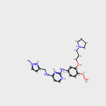 Cn1ccc(CNc2ccnc(Nc3ccc(OO)c(OCCCN4CCCC4)c3)n2)n1